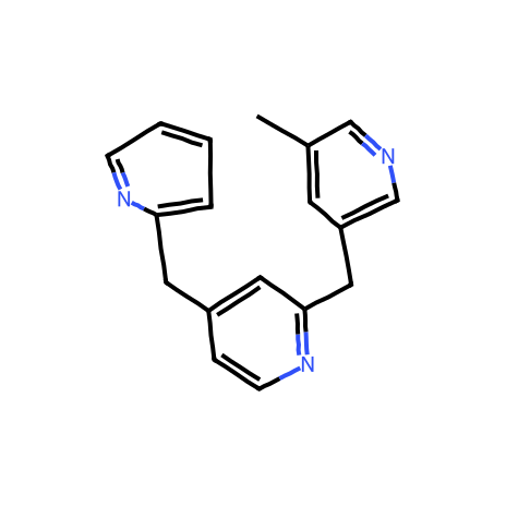 Cc1cncc(Cc2cc(Cc3ccccn3)ccn2)c1